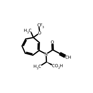 C#CC(=O)N(C1=CC(C)(OC(F)(F)F)C=CC=C1)[C@H](C)C(=O)O